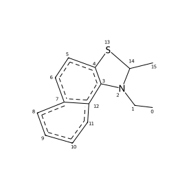 CCN1c2c(ccc3ccccc23)SC1C